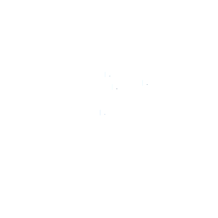 BrC1CCCCC(Br)C(Br)C(Br)C(Br)C1Br.BrCCCCCCCCCCBr